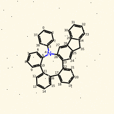 c1ccc(-n2c3ccccc3c3ccccc3c3ccccc3c3cc4c(cc32)-c2ccccc2C4)cc1